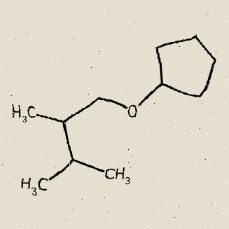 CC(C)C(C)COC1CCCC1